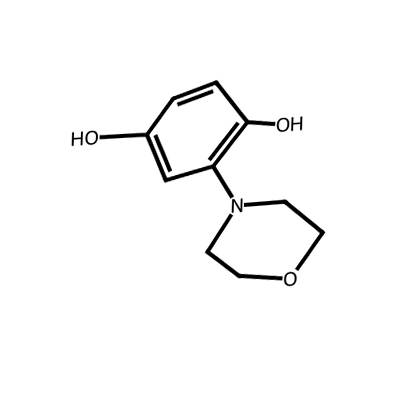 Oc1ccc(O)c(N2CCOCC2)c1